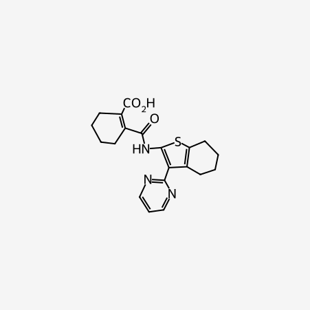 O=C(O)C1=C(C(=O)Nc2sc3c(c2-c2ncccn2)CCCC3)CCCC1